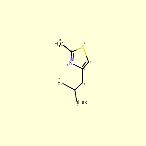 CCCCCCC(CC)Cc1csc(C)n1